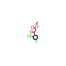 CCOC(=O)CC(=O)c1ccc(F)cc1Cl